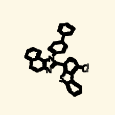 Clc1ccc(-c2nc3ccc4ccccc4c3n2-c2ccc(-c3ccccc3)cc2)c2sc3ccccc3c12